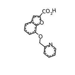 O=C(O)c1cc2cccc(OCc3ccccn3)c2o1